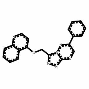 c1ccc(-c2cnc3nnc(COc4ccnc5ccccc45)n3n2)cc1